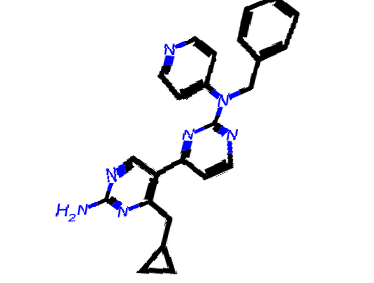 Nc1ncc(-c2ccnc(N(Cc3ccccc3)c3ccncc3)n2)c(CC2CC2)n1